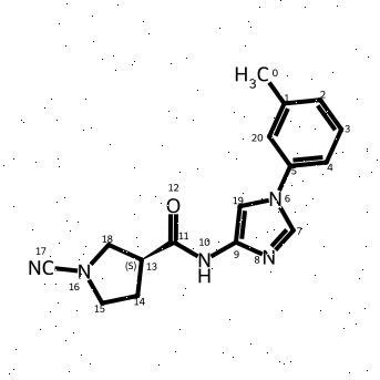 Cc1cccc(-n2cnc(NC(=O)[C@H]3CCN(C#N)C3)c2)c1